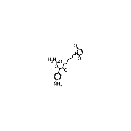 NC(=O)OC(C(=O)CCCCCN1C(=O)C=CC1=O)c1ccc(N)cc1